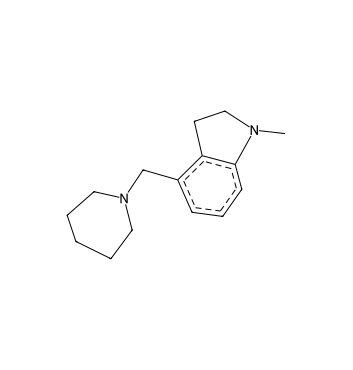 CN1CCc2c(CN3CCCCC3)cccc21